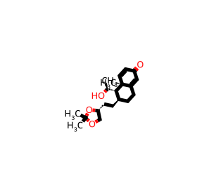 C[C@H](O)[C@H]1[C@H](CC[C@@H]2COC(C)(C)O2)CCC2=CC(=O)C=C[C@@]21C